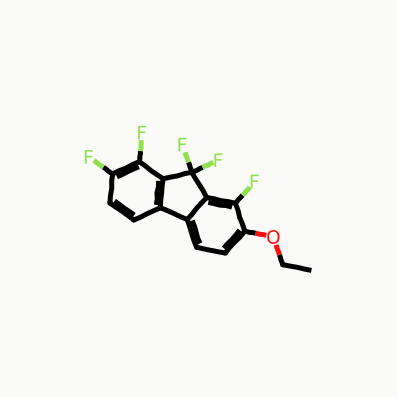 CCOc1ccc2c(c1F)C(F)(F)c1c-2ccc(F)c1F